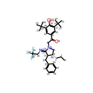 CCC[C@H]1CN(CC(=O)c2cc(C(C)(C)C)c(O)c(C(C)(C)C)c2)/C(=N/CC(F)(F)F)C1Cc1ccccc1